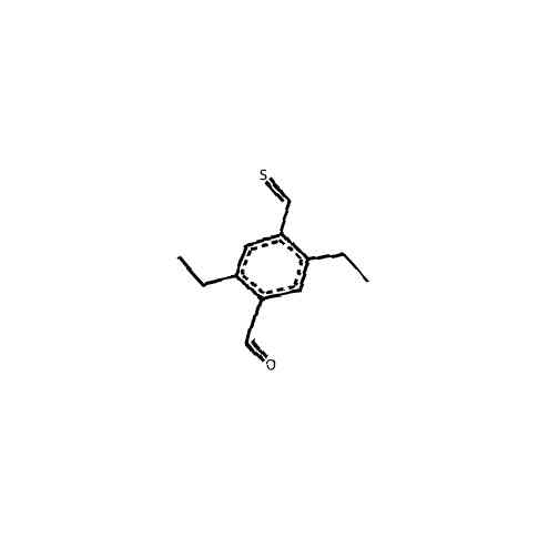 CCc1cc(C=S)c(CC)cc1C=O